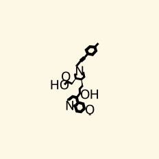 COc1ccc2nccc([C@H](O)CC[C@@H]3CCN(CC#Cc4ccc(C)cc4)C[C@@H]3CC(=O)O)c2c1